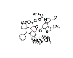 CC(=O)O.CC(=O)O.CC(=O)O.COC(=O)[C@H]1O[C@@H](Oc2cc3c(c4c(C)csc24)C(CCl)CN3C(=O)OC(C)(C)C)CC[C@H]1c1ccccc1C(c1ccccc1)c1ccccc1